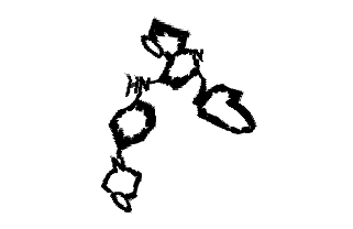 c1ccc(-c2cc(Nc3ccc(N4CCOCC4)cc3)c3occc3n2)cc1